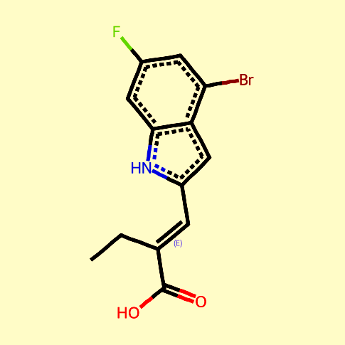 CC/C(=C\c1cc2c(Br)cc(F)cc2[nH]1)C(=O)O